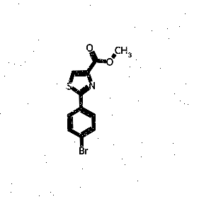 COC(=O)c1csc(-c2ccc(Br)cc2)n1